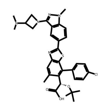 Cc1cc2nc(-c3ccc4c(c3)c(N3CC(N(C)C)C3)nn4C)sc2c(-c2ccc(Cl)cc2)c1[C@H](OC(C)(C)C)C(=O)O